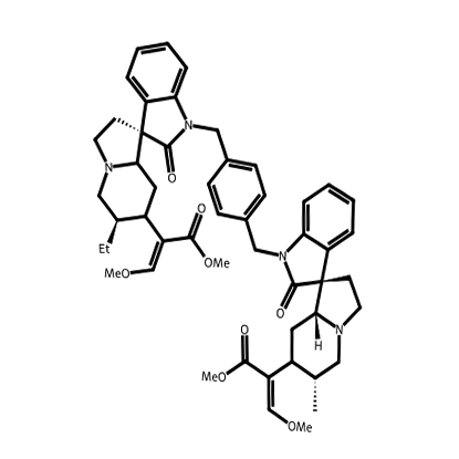 CC[C@H]1CN2CC[C@]3(C(=O)N(Cc4ccc(CN5C(=O)[C@]6(CCN7C[C@H](C)C(/C(=C\OC)C(=O)OC)C[C@@H]76)c6ccccc65)cc4)c4ccccc43)C2CC1/C(=C\OC)C(=O)OC